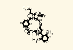 CCCCN(CCC(F)(F)F)N1C(=O)c2cccc(c2)S(=O)(=O)Nc2nc(cc(-c3c(C)cccc3C)n2)OC[C@H]1CC(C)C